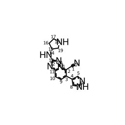 N#Cc1c(-c2cn[nH]c2)ccc2nc(N[C@@H]3CCNC3)nn12